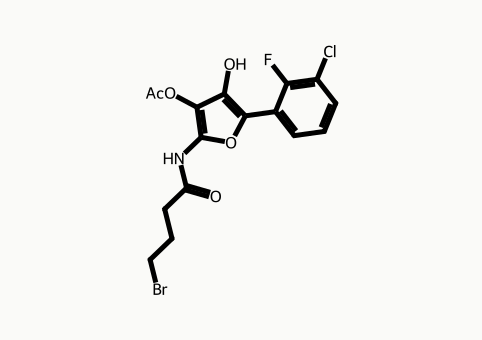 CC(=O)Oc1c(NC(=O)CCCBr)oc(-c2cccc(Cl)c2F)c1O